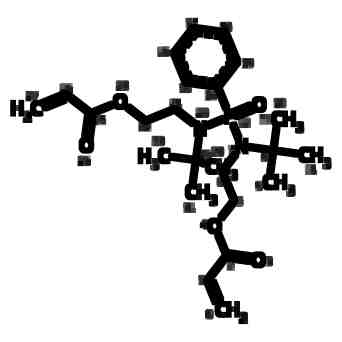 C=CC(=O)OCCN(C(C)(C)C)P(=O)(c1ccccc1)N(CCOC(=O)C=C)C(C)(C)C